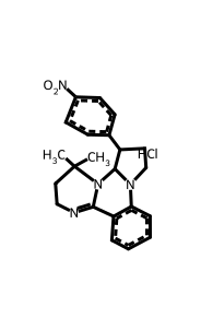 CC1(C)CCN=C2c3ccccc3N3CCC(c4ccc([N+](=O)[O-])cc4)C3N21.Cl